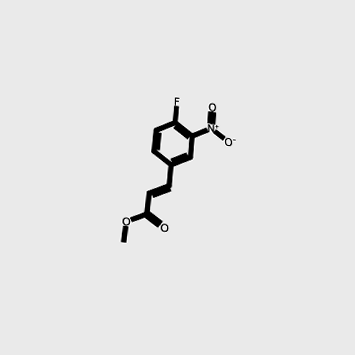 COC(=O)/C=C/c1ccc(F)c([N+](=O)[O-])c1